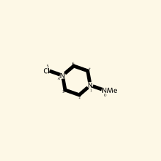 CNN1CCN(Cl)CC1